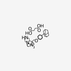 CN1CCNCC1C(=O)COc1ccc(C23CC4CC(CC(C4)C2)C3)cc1.O=C(O)CCC(=O)O